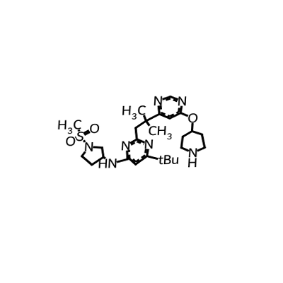 CC(C)(C)c1cc(NC2CCN(S(C)(=O)=O)C2)nc(CC(C)(C)c2cc(OC3CCNCC3)ncn2)n1